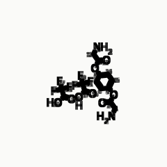 NCC(=O)Oc1ccc(OC(=O)CN)cc1.O=C(O)C(F)(F)F.O=C(O)C(F)(F)F